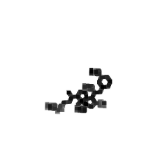 CCC1CC2(O)C3(C)C([C@H](C)CCC(=O)O)CCC23C1C(O)CC1CCC[C@@H](O)C1